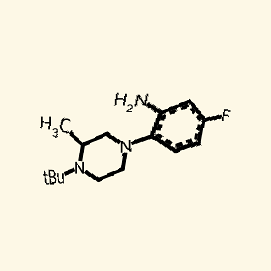 CC1CN(c2ccc(F)cc2N)CCN1C(C)(C)C